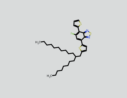 CCCCCCCCCCC(CCCCCCCC)Cc1ccc(-c2cc(F)c(-c3cccs3)c3nsnc23)s1